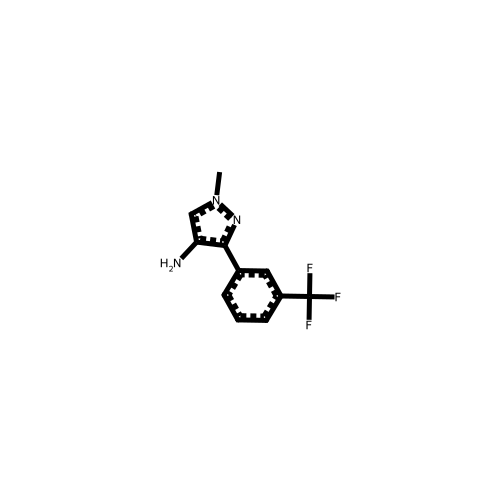 Cn1cc(N)c(-c2cccc(C(F)(F)F)c2)n1